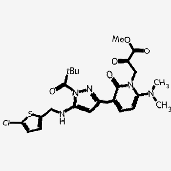 COC(=O)C(=O)Cn1c(N(C)C)ccc(-c2cc(NCc3ccc(Cl)s3)n(C(=O)C(C)(C)C)n2)c1=O